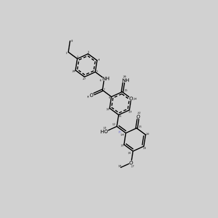 CCc1ccc(NC(=O)c2cc(/C(O)=C3/C=C(OC)C=CC3=O)coc2=N)cc1